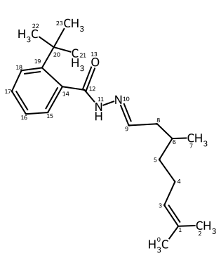 CC(C)=CCCC(C)CC=NNC(=O)c1ccccc1C(C)(C)C